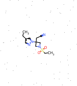 CCc1cnn(C2(CC#N)CN(S(=O)(=O)CC)C2)c1